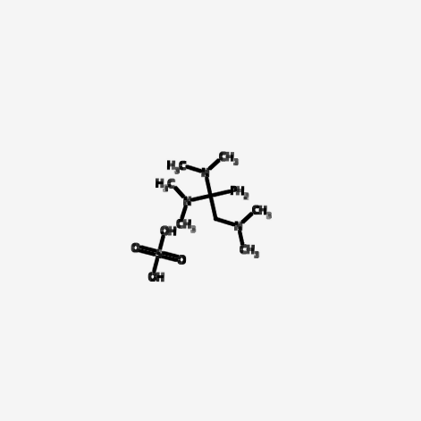 CN(C)CC(P)(N(C)C)N(C)C.O=S(=O)(O)O